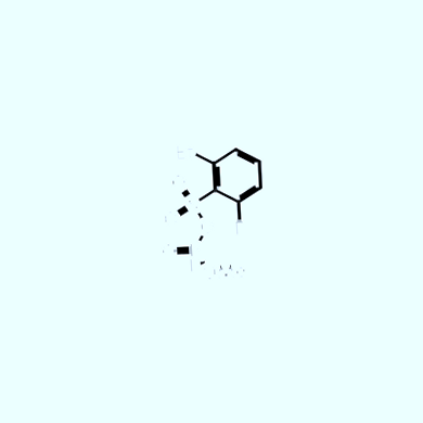 CCc1cccc(F)c1S(=O)(=O)O[PH](=O)OC